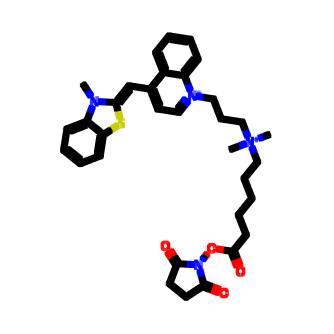 CN1/C(=C/c2cc[n+](CCC[N+](C)(C)CCCCCC(=O)ON3C(=O)CCC3=O)c3ccccc23)Sc2ccccc21